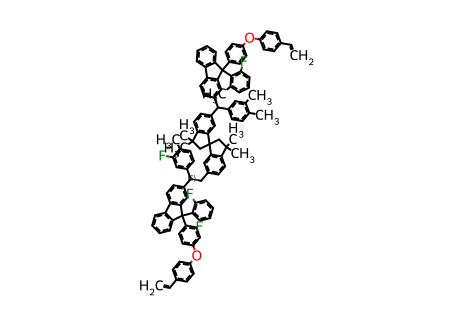 C=Cc1ccc(Oc2ccc(C3(c4c(C)cccc4F)c4ccccc4-c4ccc(C(c5ccc(C)c(C)c5)c5ccc6c(c5)C5(CC(C)(C)c7ccc(C[C@H](c8ccc(C)c(F)c8)c8ccc9c(c8)C(c8ccc(Oc%10ccc(C=C)cc%10)cc8)(c8c(F)cccc8F)c8ccccc8-9)cc75)CC6(C)C)cc43)cc2)cc1